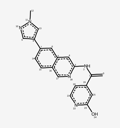 C=C(Nc1cc2cc(-c3cnn(C)c3)ccc2cn1)c1ccnc(O)c1